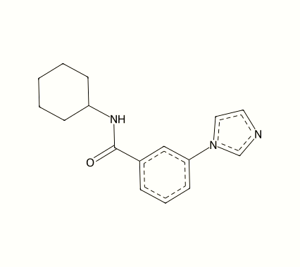 O=C(NC1CCCCC1)c1cccc(-n2ccnc2)c1